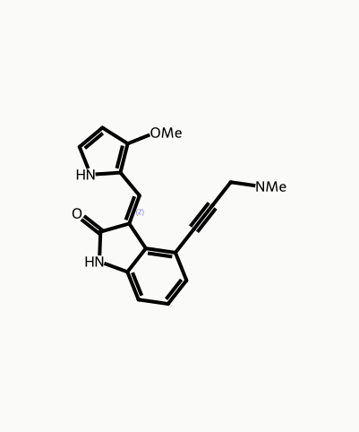 CNCC#Cc1cccc2c1/C(=C/c1[nH]ccc1OC)C(=O)N2